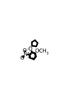 COc1cc[c]c([N+](=O)[O-])c1OC1CCCC1